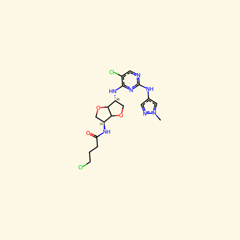 Cn1cc(Nc2ncc(Cl)c(N[C@@H]3COC4C3OC[C@@H]4NC(=O)CCCCl)n2)cn1